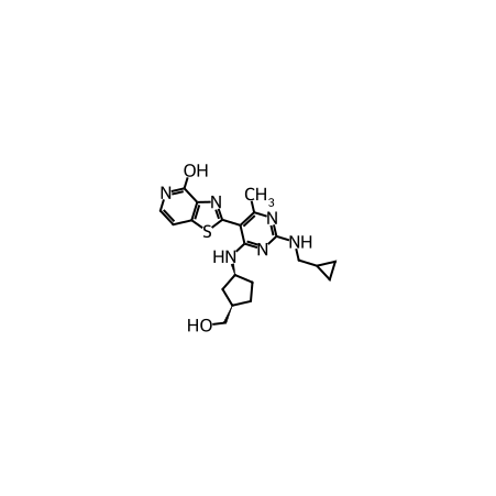 Cc1nc(NCC2CC2)nc(N[C@H]2CC[C@@H](CO)C2)c1-c1nc2c(O)nccc2s1